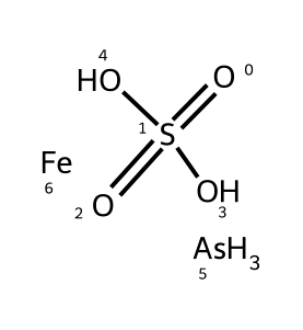 O=S(=O)(O)O.[AsH3].[Fe]